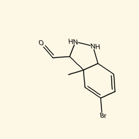 CC12C=C(Br)C=CC1NNC2C=O